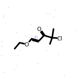 CCO/C=C/C(=O)C(C)(C)Cl